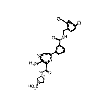 Nc1ncc(-c2cccc(C(=O)NCc3ccc(Cl)cc3Cl)c2)nc1C(=O)N[C@H]1CCN(C(=O)O)C1